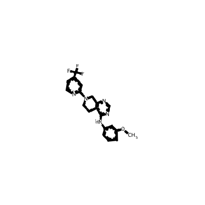 COc1cccc(Nc2ncnc3c2CCN(c2cc(C(F)(F)F)ccn2)C3)c1